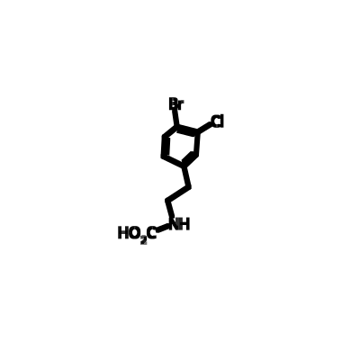 O=C(O)NCCc1ccc(Br)c(Cl)c1